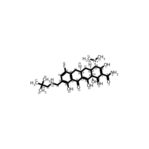 B=C1C(C(N)=O)=C(O)[C@@H](N(C)C)[C@@H]2C[C@@H]3Cc4c(F)cc(CNCC(C)(C)C)c(O)c4C(=O)C3=C(O)[C@]12O